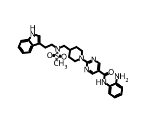 CS(=O)(=O)N(CCc1c[nH]c2ccccc12)CC1CCN(c2ncc(C(=O)Nc3ccccc3N)cn2)CC1